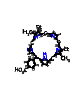 CCC1=C(C)c2cc3ccc([nH]3)c(-c3ccc(C(=O)O)cc3)c3ccc(cc4nc(cc5nc(cc1n2)C=C5)C(CC)=C4C)[nH]3